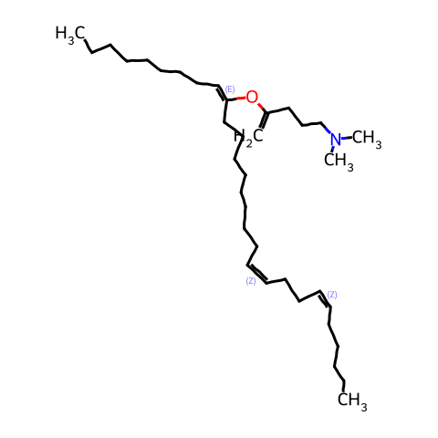 C=C(CCCN(C)C)O/C(=C/CCCCCCCC)CCCCCCCC/C=C\CC/C=C\CCCCC